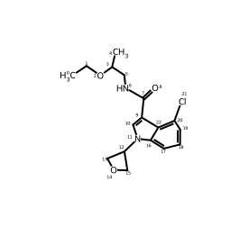 CCOC(C)CNC(=O)c1cn(C2COC2)c2cccc(Cl)c12